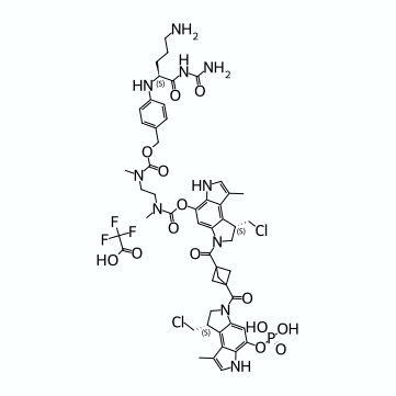 Cc1c[nH]c2c(OC(=O)N(C)CCN(C)C(=O)OCc3ccc(N[C@@H](CCCN)C(=O)NC(N)=O)cc3)cc3c(c12)[C@H](CCl)CN3C(=O)C12CC(C(=O)N3C[C@@H](CCl)c4c3cc(OP(=O)(O)O)c3[nH]cc(C)c43)(C1)C2.O=C(O)C(F)(F)F